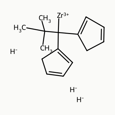 CC(C)(C)[C]([Zr+3])(C1=CC=CC1)C1=CC=CC1.[H-].[H-].[H-]